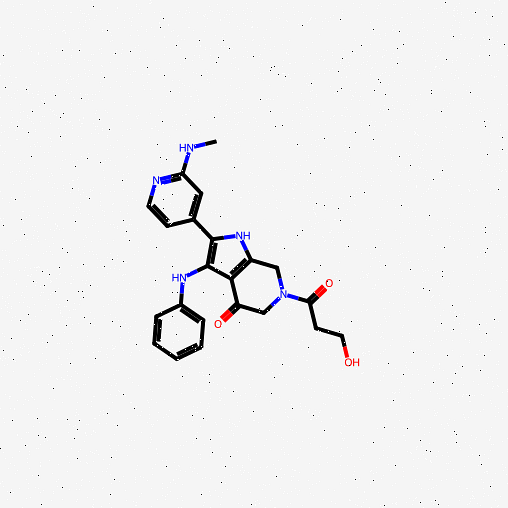 CNc1cc(-c2[nH]c3c(c2Nc2ccccc2)C(=O)CN(C(=O)CCO)C3)ccn1